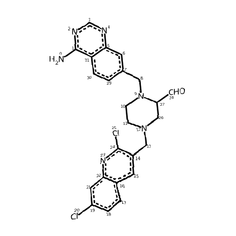 Nc1ncnc2cc(CN3CCN(Cc4cc5ccc(Cl)cc5nc4Cl)CC3C=O)ccc12